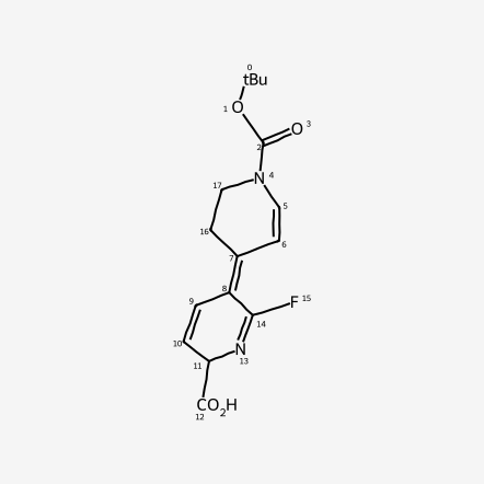 CC(C)(C)OC(=O)N1C=CC(=C2C=CC(C(=O)O)N=C2F)CC1